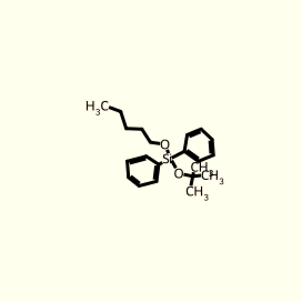 CCCCCO[Si](OC(C)(C)C)(c1ccccc1)c1ccccc1